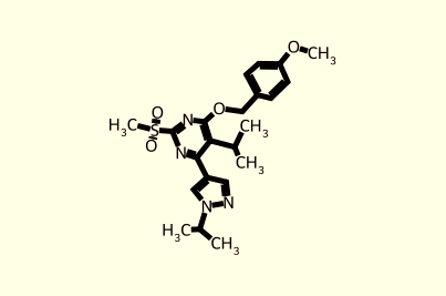 COc1ccc(COc2nc(S(C)(=O)=O)nc(-c3cnn(C(C)C)c3)c2C(C)C)cc1